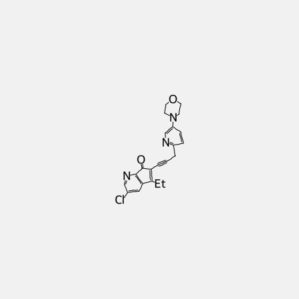 CCC1=C(C#CCc2ccc(N3CCOCC3)cn2)C(=O)c2ncc(Cl)cc21